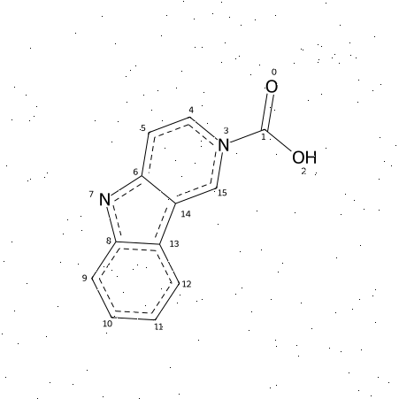 O=C(O)n1ccc2nc3ccccc3c-2c1